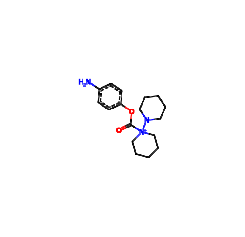 Nc1ccc(OC(=O)[N+]2(N3CCCCC3)CCCCC2)cc1